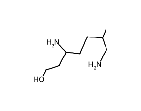 CC(CN)CCC(N)CCO